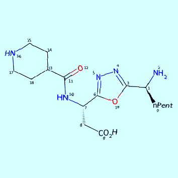 CCCCC[C@H](N)c1nnc([C@H](CC(=O)O)NC(=O)C2CCNCC2)o1